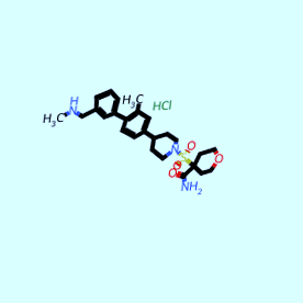 CNCc1cccc(-c2ccc(C3CCN(S(=O)(=O)C4(C(N)=O)CCOCC4)CC3)cc2C)c1.Cl